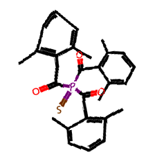 Cc1cccc(C)c1C(=O)P(=S)(C(=O)c1c(C)cccc1C)C(=O)c1c(C)cccc1C